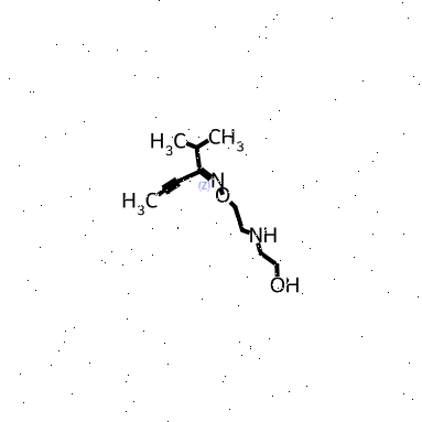 CC#C/C(=N\OCCNCCO)C(C)C